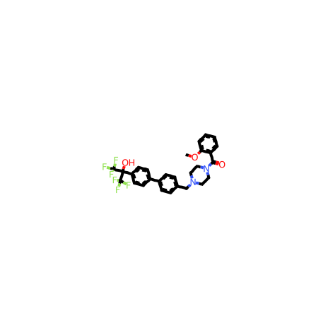 COc1ccccc1C(=O)N1CCN(Cc2ccc(-c3ccc(C(O)(C(F)(F)F)C(F)(F)F)cc3)cc2)CC1